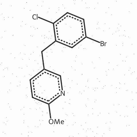 COc1ccc(Cc2cc(Br)ccc2Cl)cn1